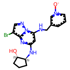 [O-][n+]1cccc(CNc2cc(N[C@H]3CCC[C@@H]3O)nc3c(Br)cnn23)c1